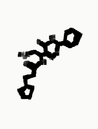 CCC(NC(=O)CCC1CCCC1)c1nnc(-c2ccccc2)[nH]c1=O